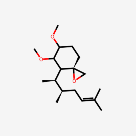 COC1CC[C@]2(CO2)C([C@H](C)[C@H](C)CC=C(C)C)C1OC